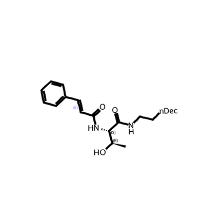 CCCCCCCCCCCCNC(=O)[C@@H](NC(=O)/C=C/c1ccccc1)[C@@H](C)O